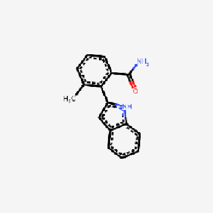 Cc1cccc(C(N)=O)c1-c1cc2ccccc2[nH]1